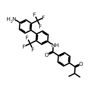 CC(C)C(=O)c1ccc(C(=O)Nc2ccc(-c3ccc(N)cc3C(F)(F)F)c(C(F)(F)F)c2)cc1